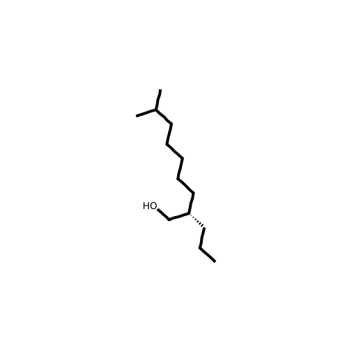 CCC[C@H](CO)CCCCCC(C)C